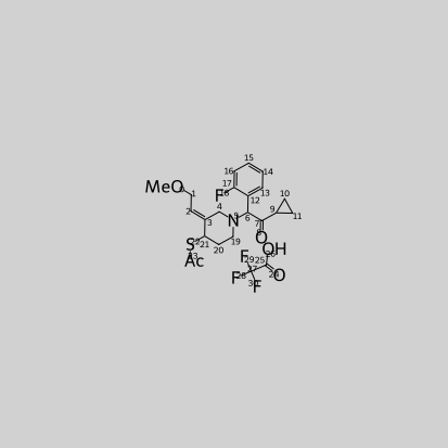 COCC=C1CN(C(C(=O)C2CC2)c2ccccc2F)CCC1SC(C)=O.O=C(O)C(F)(F)F